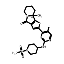 C[C@]12CCCCN1C(=O)c1cc(-c3nc(NC4CCN(S(C)(=O)=O)CC4)ncc3F)sc12